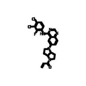 C=CC(=O)N1CCC2C1CCN2c1ccc2ncnc(Nc3ccc(Cl)c(Cl)c3F)c2c1